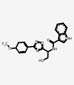 O=C(NC(CO)c1nc(C2=CCC(OC(F)(F)F)C=C2)no1)c1c[nH]c2ccccc12